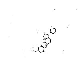 CO[C@@H]1C[C@H]2[C@@H]3OC4=C(C=C3C=C[C@]2(C)[C@H]1c1cccnc1)C(=O)CC(CN(C)C)C4